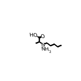 CCCCCN(N)C(C)C(=O)O